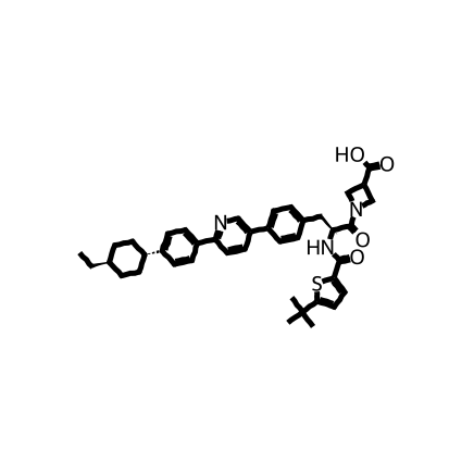 CC[C@H]1CC[C@H](c2ccc(-c3ccc(-c4ccc(C[C@H](NC(=O)c5ccc(C(C)(C)C)s5)C(=O)N5CC(C(=O)O)C5)cc4)cn3)cc2)CC1